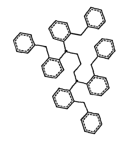 c1ccc(Cc2ccccc2P(CCCP(c2ccccc2Cc2ccccc2)c2ccccc2Cc2ccccc2)c2ccccc2Cc2ccccc2)cc1